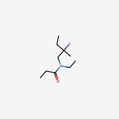 CCC(=O)N(CC)CC(C)(I)CC